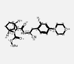 CC(C)(C)OC(=O)N1[C@@H]2CC[C@@H](C2)[C@H]1C(=O)N[C@H](C#N)Cc1ccc(N2CCOCC2)cc1F